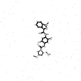 CO[C@H]1C[C@@H](CO)N(C(=O)Cc2cc(Cl)c(NC(=O)c3nn(C)c4ccccc34)cc2F)C1